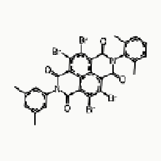 Cc1cc(C)cc(N2C(=O)c3c(Br)c(Br)c4c5c(c(Br)c(Br)c(c35)C2=O)C(=O)N(c2c(C)cccc2C)C4=O)c1